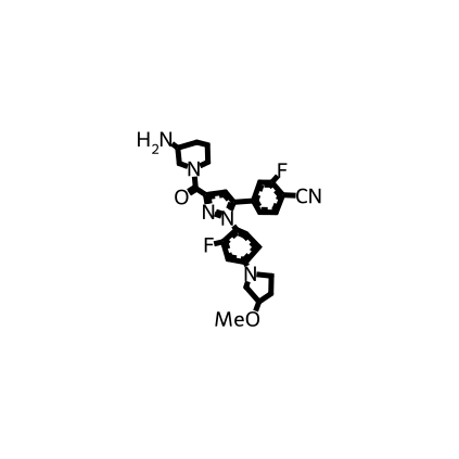 COC1CCN(c2ccc(-n3nc(C(=O)N4CCCC(N)C4)cc3-c3ccc(C#N)c(F)c3)c(F)c2)C1